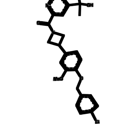 CCc1ccc(COc2ccc(C3CN(C(=O)c4cc(C(C)(C)O)ccn4)C3)cc2OC)cc1